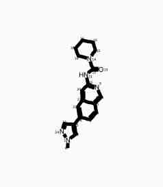 Cn1cc(-c2ccc3cnc(NC(=O)N4CCCCC4)cc3c2)cn1